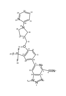 Cn1nnc2c(C#N)nc(-c3ccc(OCC4CCN(c5ccccn5)C4)c(C(F)(F)F)c3)cc21